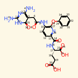 Nc1nc(N)c(CC(=O)Nc2ccc(C(=O)N[C@@H](CCC(=O)O)C(=O)O)nc2Oc2ccccc2)c(=O)[nH]1